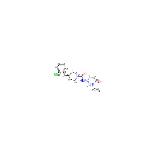 Cn1nc(NC(=O)N2CCC(Cc3ccccc3Cl)CC2)ccc1=O